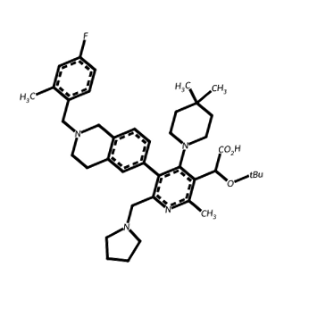 Cc1cc(F)ccc1CN1CCc2cc(-c3c(CN4CCCC4)nc(C)c(C(OC(C)(C)C)C(=O)O)c3N3CCC(C)(C)CC3)ccc2C1